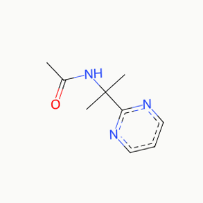 CC(=O)NC(C)(C)c1ncccn1